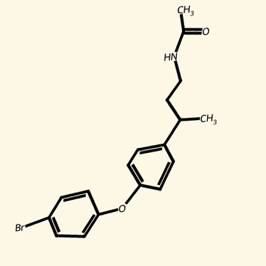 CC(=O)NCCC(C)c1ccc(Oc2ccc(Br)cc2)cc1